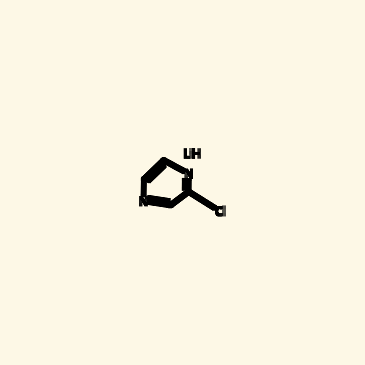 Clc1cnccn1.[LiH]